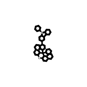 c1ccc(-n2c3ccccc3c3cc(-c4ccc(C5(c6ccccc6)c6c(ccc7ccccc67)Oc6ccc7ccccc7c65)cc4)ccc32)cc1